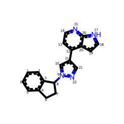 c1ccc2c(c1)CCC2n1cc(-c2ccnc3[nH]ccc23)cn1